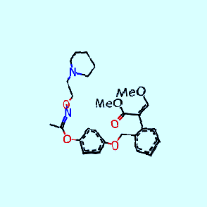 COC=C(C(=O)OC)c1ccccc1COc1ccc(OC(C)=NOCCN2CCCCC2)cc1